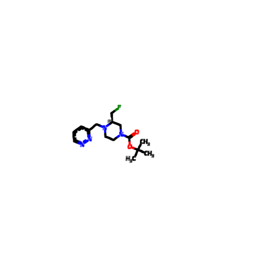 CC(C)(C)OC(=O)N1CCN(Cc2cccnn2)[C@@H](CF)C1